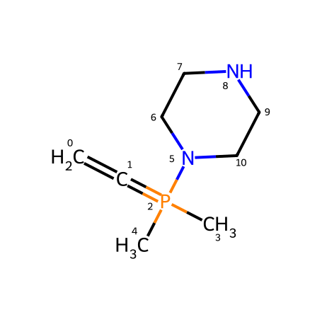 C=C=P(C)(C)N1CCNCC1